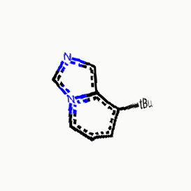 CC(C)(C)c1cccn2cncc12